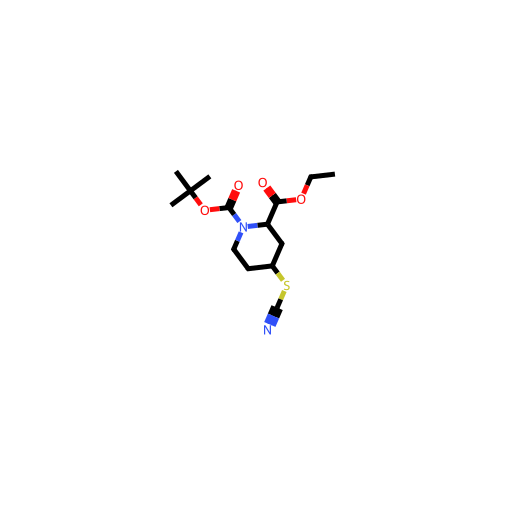 CCOC(=O)C1CC(SC#N)CCN1C(=O)OC(C)(C)C